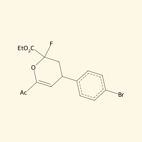 CCOC(=O)C1(F)CC(c2ccc(Br)cc2)C=C(C(C)=O)O1